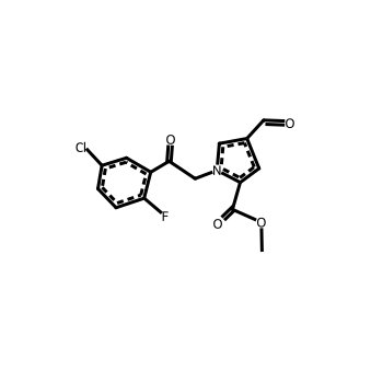 COC(=O)c1cc(C=O)cn1CC(=O)c1cc(Cl)ccc1F